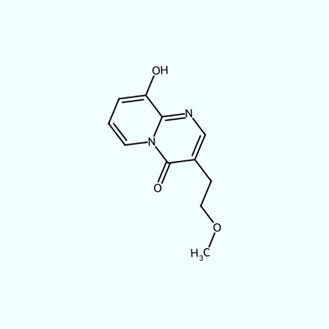 COCCc1cnc2c(O)cccn2c1=O